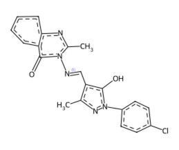 Cc1nn(-c2ccc(Cl)cc2)c(O)c1/C=N/n1c(C)nc2ccccc2c1=O